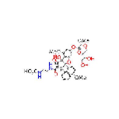 COc1ccc([C@@]23Oc4cc(O[C@H]5O[C@@H](C(O)CO)CO[C@H]5OC)cc(OC)c4[C@]2(O)[C@H](O)[C@H](C(=O)NCCNC(=O)O)[C@H]3c2ccccc2)cc1